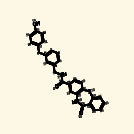 O=C(NCc1cccc(Cc2ccc(O)cc2)c1)c1ccc2c(c1)NC(=O)c1ccccc1S2